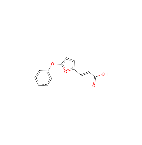 O=C(O)/C=C/c1ccc(Oc2ccccc2)o1